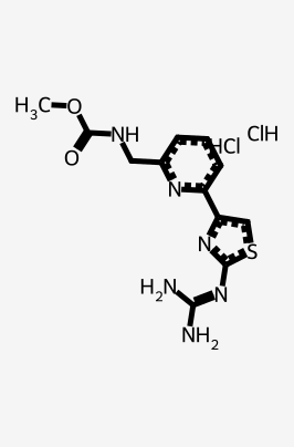 COC(=O)NCc1cccc(-c2csc(N=C(N)N)n2)n1.Cl.Cl